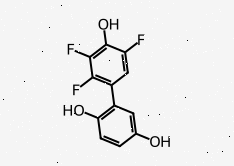 Oc1ccc(O)c(-c2cc(F)c(O)c(F)c2F)c1